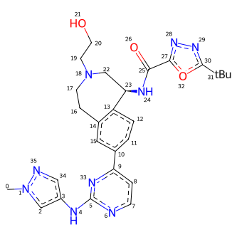 Cn1cc(Nc2nccc(-c3ccc4c(c3)CCN(CCO)C[C@H]4NC(=O)c3nnc(C(C)(C)C)o3)n2)cn1